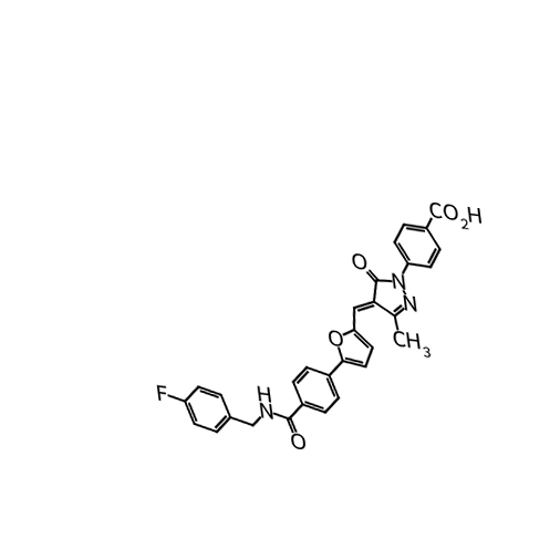 CC1=NN(c2ccc(C(=O)O)cc2)C(=O)/C1=C/c1ccc(-c2ccc(C(=O)NCc3ccc(F)cc3)cc2)o1